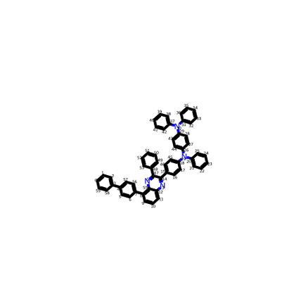 c1ccc(-c2ccc(-c3cccc4nc(-c5ccc(N(c6ccccc6)c6ccc(N(c7ccccc7)c7ccccc7)cc6)cc5)c(-c5ccccc5)nc34)cc2)cc1